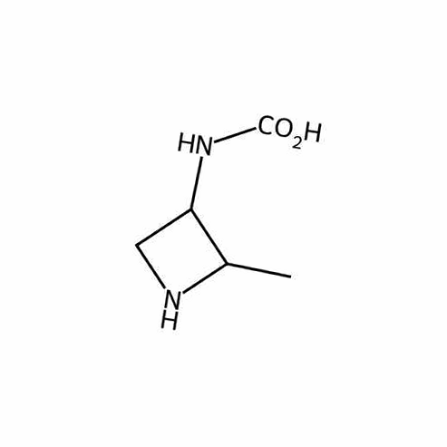 CC1NCC1NC(=O)O